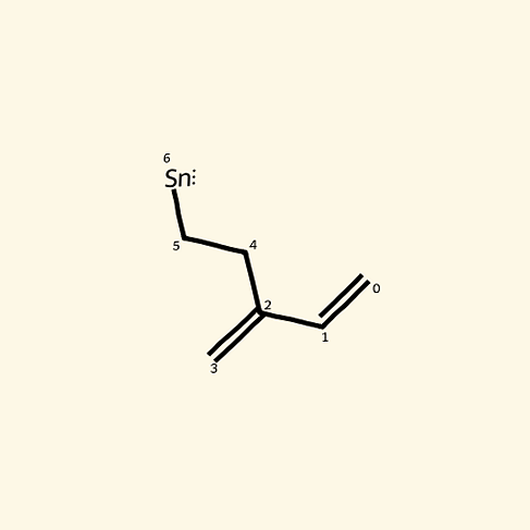 C=CC(=C)C[CH2][Sn]